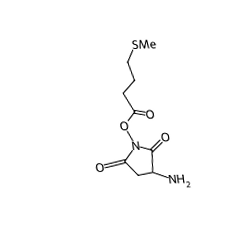 CSCCCC(=O)ON1C(=O)CC(N)C1=O